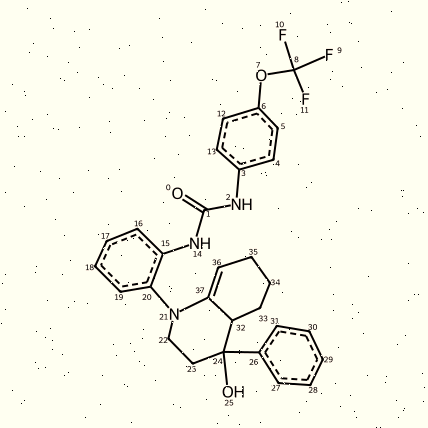 O=C(Nc1ccc(OC(F)(F)F)cc1)Nc1ccccc1N1CCC(O)(c2ccccc2)C2CCCC=C21